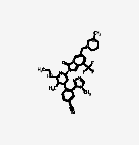 CCNC1=NC(n2cc3c(C(F)(F)F)cc(CN4CCC[C@H](C)C4)cn3c2=O)=CC(c2ccc(C#N)cc2-c2nncn2C)C1C